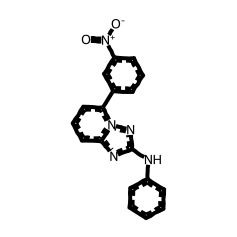 O=[N+]([O-])c1cccc(-c2cccc3nc(Nc4ccccc4)nn23)c1